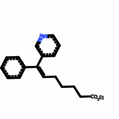 CCOC(=O)CCCCC=C(c1ccccc1)c1cccnc1